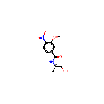 COc1cc(C(=O)N[C@H](C)CO)ccc1[N+](=O)[O-]